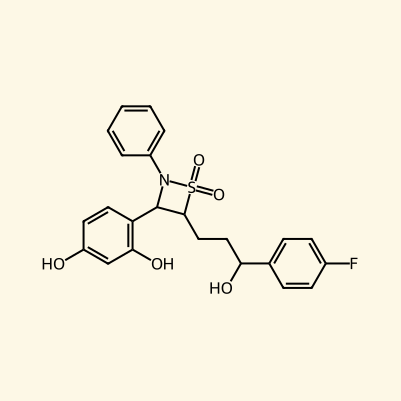 O=S1(=O)C(CCC(O)c2ccc(F)cc2)C(c2ccc(O)cc2O)N1c1ccccc1